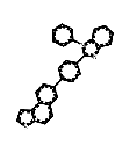 c1ccc(-n2c(-c3ccc(-c4ccc5c(ccc6sccc65)c4)cc3)nc3ccccc32)cc1